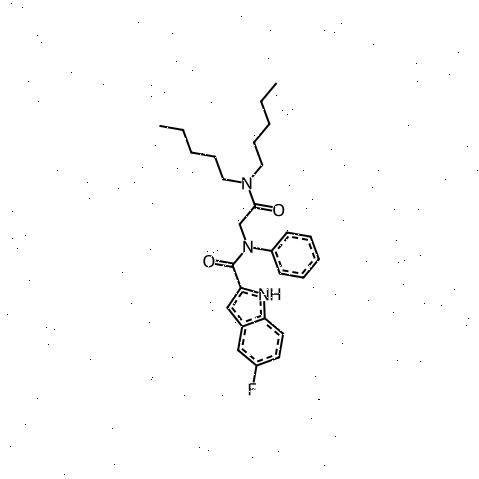 CCCCCN(CCCCC)C(=O)CN(C(=O)c1cc2cc(F)ccc2[nH]1)c1ccccc1